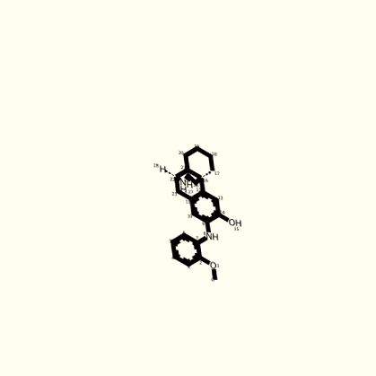 COc1ccccc1Nc1cc2c(cc1O)[C@]13CCCC[C@@H]1[C@H](C2)NCC3